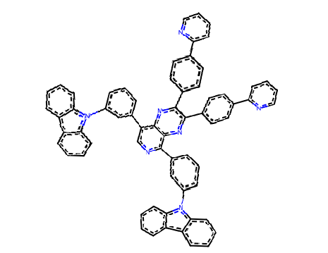 c1ccc(-c2ccc(-c3nc4c(-c5cccc(-n6c7ccccc7c7ccccc76)c5)cnc(-c5cccc(-n6c7ccccc7c7ccccc76)c5)c4nc3-c3ccc(-c4ccccn4)cc3)cc2)nc1